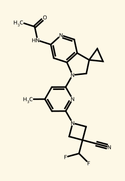 CC(=O)Nc1cc2c(cn1)C1(CC1)CN2c1cc(C)cc(N2CC(C#N)(C(F)F)C2)n1